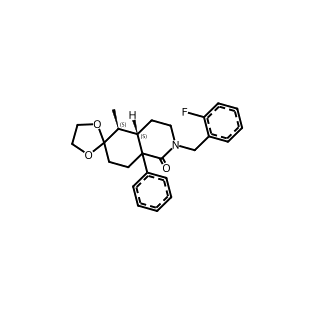 C[C@H]1[C@@H]2CCN(Cc3ccccc3F)C(=O)C2(c2ccccc2)CCC12OCCO2